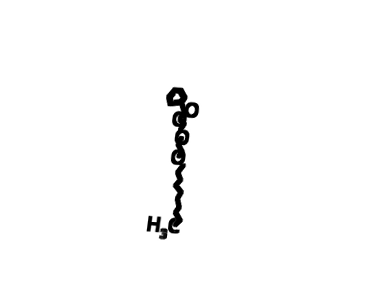 CCCCCCCCCCOCCOCCOC(=O)c1ccccc1